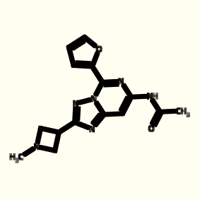 CC(=O)Nc1cc2nc(C3CN(C)C3)nn2c(-c2ccco2)n1